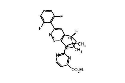 CCOC(=O)c1ccnc([C@@]23CC[C@@H](c4cc(-c5c(F)cccc5F)nnc42)C3(C)C)n1